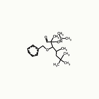 CC(CC(C)(C)C)C(OCc1ccccc1)C(C)(C=O)O[SiH](C)C